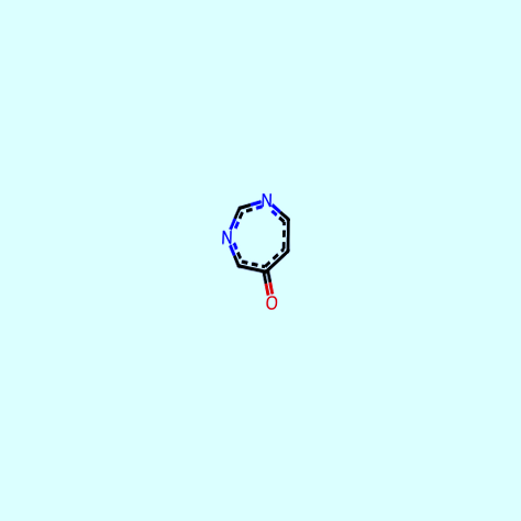 O=c1ccncnc1